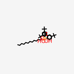 CCCCCCCCCCCCOP(O)(O)(c1ccc(C(C)(C)C)cc1C(C)(C)C)c1ccc(C(C)(C)C)cc1C(C)(C)C